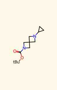 CC(C)(C)OC(=O)N1CC2(C1)CN(C1CC1)C2